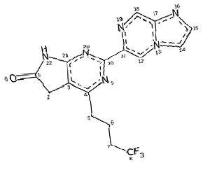 O=C1Cc2c(CCCC(F)(F)F)nc(-c3cn4ccnc4cn3)nc2N1